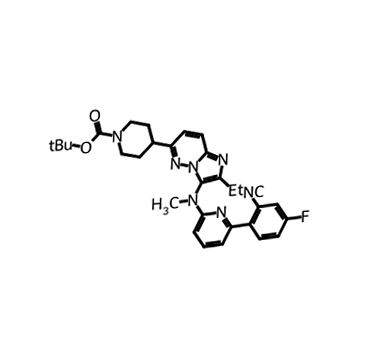 CCc1nc2ccc(C3CCN(C(=O)OC(C)(C)C)CC3)nn2c1N(C)c1cccc(-c2ccc(F)cc2C#N)n1